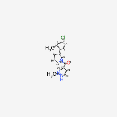 Cc1cc(Cl)ccc1C1CCCN(C(=O)C2=CN(C)NC=C2)C1